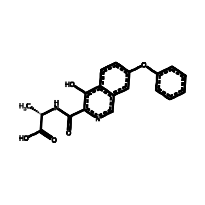 C[C@H](NC(=O)c1ncc2cc(Oc3ccccc3)ccc2c1O)C(=O)O